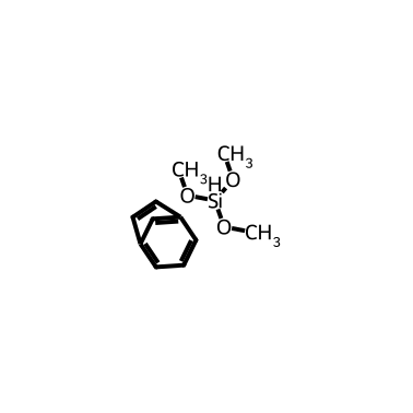 C1=Cc2cccc1c2.CO[SiH](OC)OC